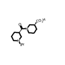 CC(C)N1CCC[C@@H](C(=O)N2CCC[C@H](C(=O)O)C2)C1